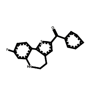 O=C(c1ccccc1)c1cc2c(s1)-c1ccc(F)cc1NCC2